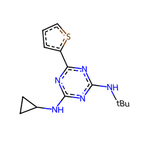 CC(C)(C)Nc1nc(NC2CC2)nc(-c2cccs2)n1